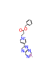 CP1C=Nc2nc(-c3cc[n+](CCC(=O)OCc4ccccc4)cc3)cnc2C=N1